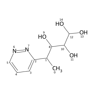 CC(c1cccnn1)C(O)C(O)C(O)O